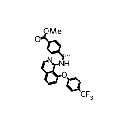 COC(=O)c1ccc([C@H](C)Nc2nccc3cccc(Oc4ccc(C(F)(F)F)cc4)c23)cc1